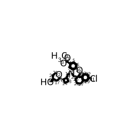 COC(=O)c1ccc2c(c1)N(CC1CCC1[C@@H]1CC(O)CCO1)C[C@@]1(CCCc3cc(Cl)ccc31)CO2